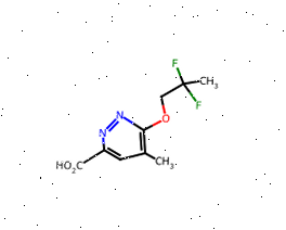 Cc1cc(C(=O)O)nnc1OCC(C)(F)F